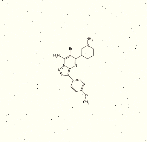 COc1ccc(-c2cnn3c(N)c(Br)c(C4CCCN(N)C4)nc23)cn1